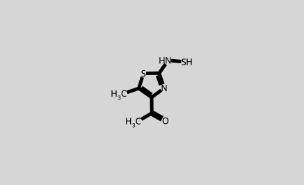 CC(=O)c1nc(NS)sc1C